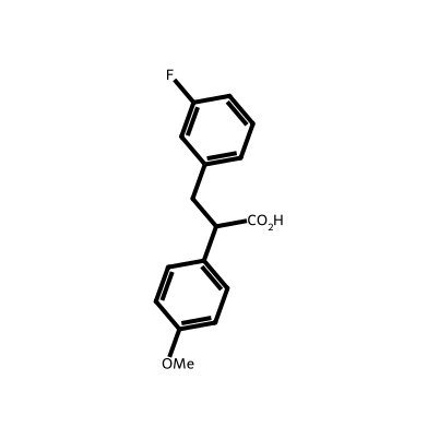 COc1ccc(C(Cc2cccc(F)c2)C(=O)O)cc1